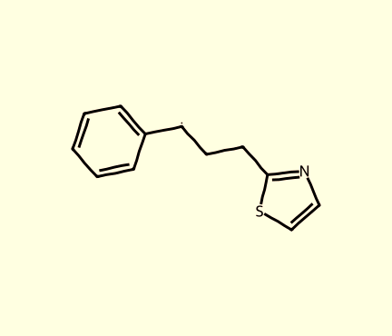 [CH](CCc1nccs1)c1ccccc1